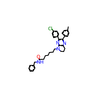 Cc1ccc(-c2nc3c(nc2-c2ccc(Cl)cc2)N(CCCCCCC(=O)NCc2ccccc2)CCC3)cc1